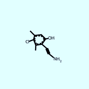 Cc1cc(O)c(C#CN)c(C)c1Cl